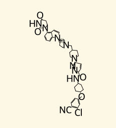 N#Cc1ccc(O[C@H]2CC[C@H](NC(=O)c3ccc(N4CCC(CN5CC[C@H](n6ccc7c(N8CCC(=O)NC8=O)cccc76)C5)CC4)nn3)CC2)cc1Cl